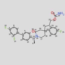 C[C@@H](c1ccc(-c2ccc(F)cc2F)cc1)N1CCC(CCCOC(N)=O)(c2ccc(F)cc2)CC1=O